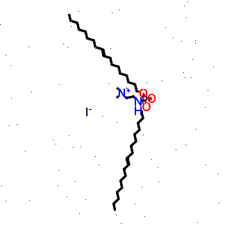 CCCCCCCCC=CCCCCCCCCOP(=O)(NCC[N+](C)(C)C)OCCCCCCCCC=CCCCCCCCC.[I-]